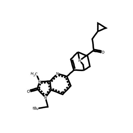 Cn1c(=O)n(CC(C)(C)C)c2ccc(C3=CC4CCC3CN4C(=O)CC3CC3)nc21